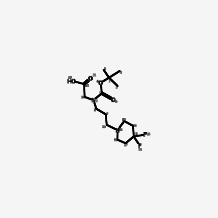 CC(C)(C)OC(=O)N(CCCN1CCC(F)(F)CC1)CC(=O)O